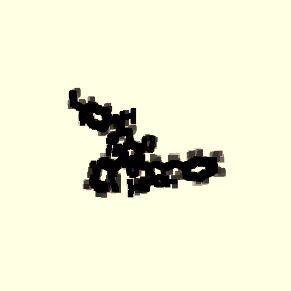 CCc1ccc(NC(=O)CC(NC(=O)c2cnccn2)C(=O)N[C@@H](CCCc2ccccc2)B(O)O)cn1